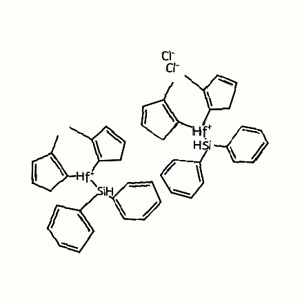 CC1=[C]([Hf+]([C]2=C(C)C=CC2)[SiH](c2ccccc2)c2ccccc2)CC=C1.CC1=[C]([Hf+]([C]2=C(C)C=CC2)[SiH](c2ccccc2)c2ccccc2)CC=C1.[Cl-].[Cl-]